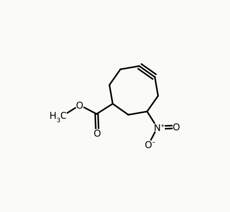 COC(=O)C1CCC#CCC([N+](=O)[O-])C1